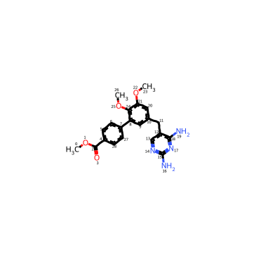 COC(=O)c1ccc(-c2cc(Cc3cnc(N)nc3N)cc(OC)c2OC)cc1